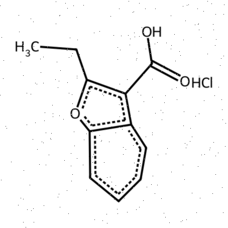 CCc1oc2ccccc2c1C(=O)O.Cl